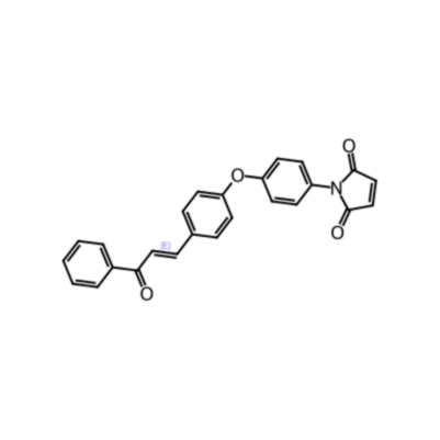 O=C(/C=C/c1ccc(Oc2ccc(N3C(=O)C=CC3=O)cc2)cc1)c1ccccc1